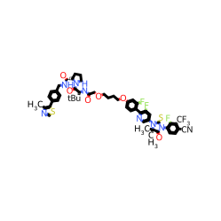 Cc1ncsc1-c1ccc(CNC(=O)[C@@H]2CCCN2C(=O)C(NC(=O)COCCCCOc2ccc(-c3ncc(N4C(=S)N(c5ccc(C#N)c(C(F)(F)F)c5F)C(=O)C4(C)C)cc3F)c(F)c2)C(C)(C)C)cc1